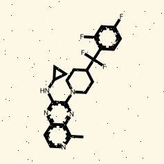 Cc1nccc2nc(NC3CC3)c(N3CCC(C(F)(F)c4ccc(F)cc4F)CC3)nc12